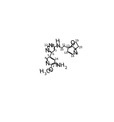 COc1ncc(-c2cc(NCCc3ccnc4c3OCC4)ncn2)cc1N